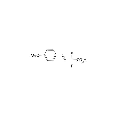 COc1ccc(C=CC(F)(F)C(=O)O)cc1